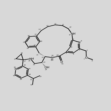 COCc1cc2cc(n1)NCCCCCc1cccc(c1)C[C@@H]([C@H](O)CNC1(c3cc(C(C)C)ccn3)CC1)NC2=O